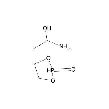 CC(N)O.O=[PH]1OCCO1